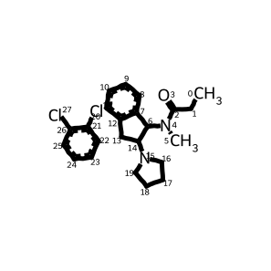 CCC(=O)N(C)C1c2ccccc2CC1N1CCCC1.Clc1ccccc1Cl